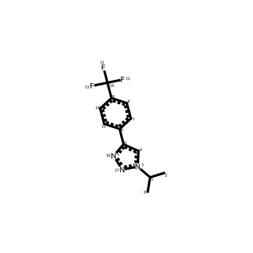 CC(C)n1cc(-c2ccc(C(F)(F)F)cc2)nn1